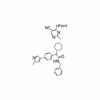 CCCCCc1nc(C[C@H]2CC[C@H](C(C(=O)NCc3ccccc3)c3ccc(C4=CC(C)N=C4)cc3)CC2)ncc1C#N